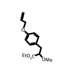 C=CCOc1ccc(CC(OC)C(=O)OCC)cc1